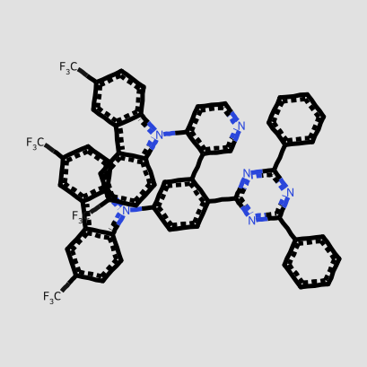 FC(F)(F)c1ccc2c(c1)c1cc(C(F)(F)F)ccc1n2-c1ccc(-c2nc(-c3ccccc3)nc(-c3ccccc3)n2)c(-c2cnccc2-n2c3ccc(C(F)(F)F)cc3c3cc(C(F)(F)F)ccc32)c1